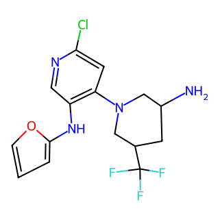 NC1CC(C(F)(F)F)CN(c2cc(Cl)ncc2Nc2ccco2)C1